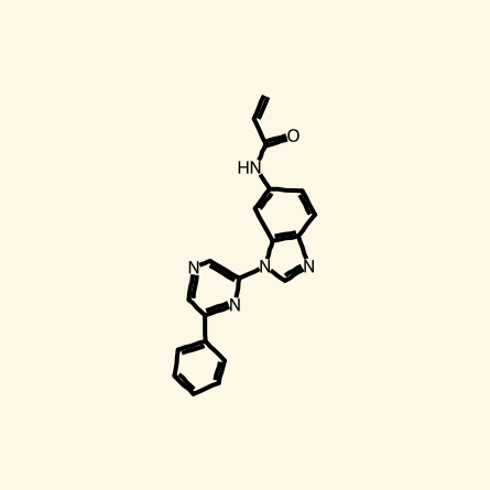 C=CC(=O)Nc1ccc2ncn(-c3cncc(-c4ccccc4)n3)c2c1